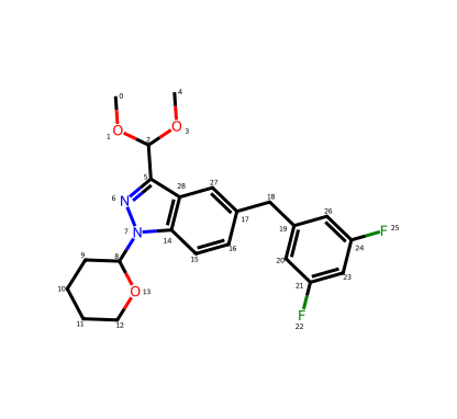 COC(OC)c1nn(C2CCCCO2)c2ccc(Cc3cc(F)cc(F)c3)cc12